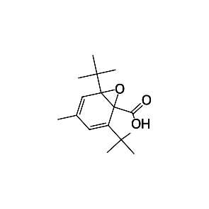 CC1=CC2(C(C)(C)C)OC2(C(=O)O)C(C(C)(C)C)=C1